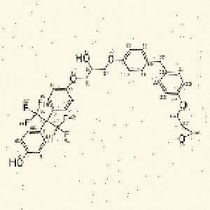 Oc1ccc(C(c2ccc(OCC(O)COc3ccc(Cc4ccc(OCC5CO5)cc4)cc3)cc2)(C(F)(F)F)C(F)(F)F)cc1